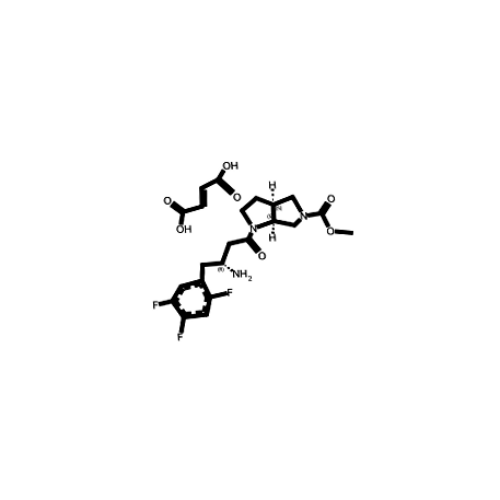 COC(=O)N1C[C@@H]2CCN(C(=O)C[C@H](N)Cc3cc(F)c(F)cc3F)[C@@H]2C1.O=C(O)C=CC(=O)O